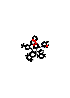 C=C(/C=C\C(=C/C)N1c2cc(-c3ccccc3)cc3c2B(c2c1sc1c2C(C)(C)CCC1(C)C)[C@H]1CC=C2C(=CC1N3c1ccc(C(C)(C)C)cc1-c1ccccc1)C(C)(C)CCC2(C)C)C(C)(C)C